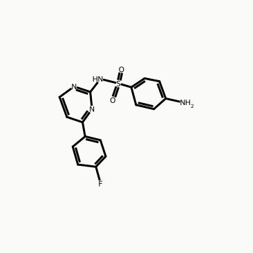 Nc1ccc(S(=O)(=O)Nc2nccc(-c3ccc(F)cc3)n2)cc1